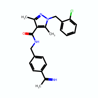 CC(=N)c1ccc(CNC(=O)c2c(C)nn(Cc3ccccc3Cl)c2C)cc1